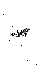 C#CCOc1cnc(C(=O)Nc2cc(F)c(F)c([C@@]3(CF)N=C(N)S[C@@]4(CO)CC43)c2)cn1